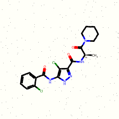 C[C@@H](NC(=O)c1n[nH]c(NC(=O)c2ccccc2Cl)c1Cl)C(=O)N1CCCCC1